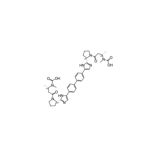 C[C@@H](CC(=O)N1CCC[C@H]1c1ncc(-c2ccc(-c3ccc(-c4cnc([C@@H]5CCCN5C(=O)C[C@H](C)N(C)C(=O)O)[nH]4)cc3)cc2)[nH]1)N(C)C(=O)O